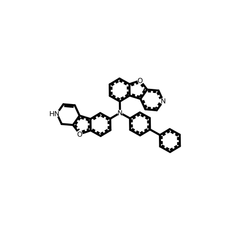 C1=Cc2c(oc3ccc(N(c4ccc(-c5ccccc5)cc4)c4cccc5oc6cnccc6c45)cc23)CN1